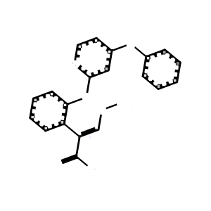 CO/C=C(/C(=O)O)c1ccccc1Oc1cc(Oc2ccccc2)ccn1